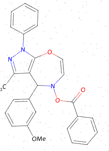 COc1cccc(C2c3c(C(F)(F)F)nn(-c4ccccc4)c3OC=CN2OC(=O)c2ccccc2)c1